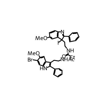 CCC(=O)NCCC1(I)C(c2ccccc2)=Nc2ccc(OC)cc21.COc1cc2c(CCNC(C)=O)c(-c3ccccc3)[nH]c2cc1Br